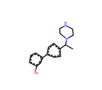 CC(c1ccc(-c2cccc(O)c2)cc1)N1CCNCC1